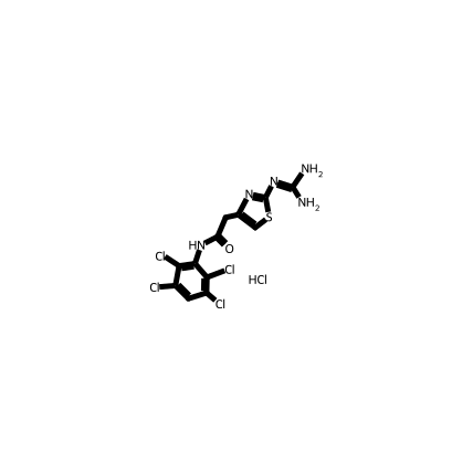 Cl.NC(N)=Nc1nc(CC(=O)Nc2c(Cl)c(Cl)cc(Cl)c2Cl)cs1